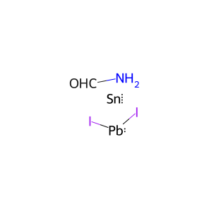 NC=O.[I][Pb][I].[Sn]